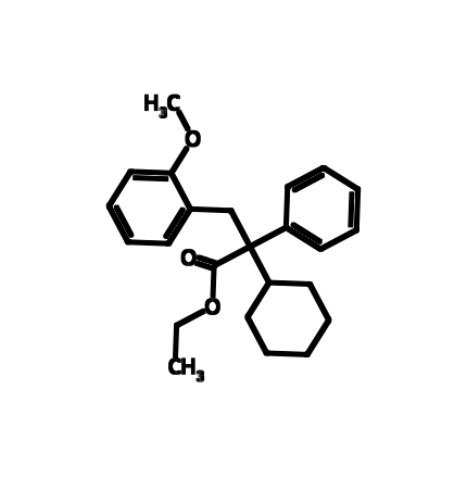 CCOC(=O)C(Cc1ccccc1OC)(c1ccccc1)C1CCCCC1